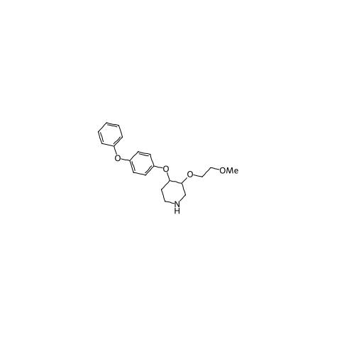 COCCOC1CNCCC1Oc1ccc(Oc2ccccc2)cc1